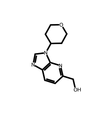 OCc1ccc2ncn(C3CCOCC3)c2n1